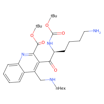 CCCCCCNCc1c(C(=O)[C@H](CCCCN)NC(=O)OC(C)(C)C)c(C(=O)OC(C)(C)C)nc2ccccc12